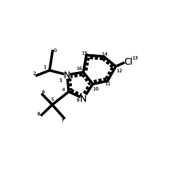 CC(C)n1c(C(C)(C)C)nc2cc(Cl)ccc21